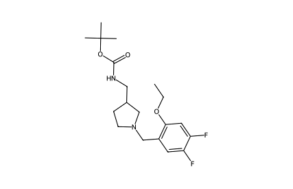 CCOc1cc(F)c(F)cc1CN1CCC(CNC(=O)OC(C)(C)C)C1